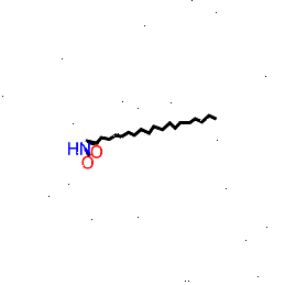 CCCCCCCCCCCCCCCCCCc1c[nH]c(=O)o1